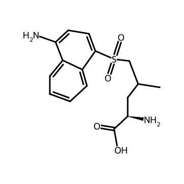 CC(C[C@@H](N)C(=O)O)CS(=O)(=O)c1ccc(N)c2ccccc12